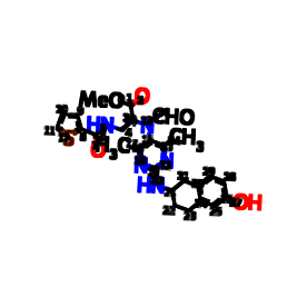 COC(=O)[C@H](CNC(=O)c1cccs1)N(C=O)c1c(C)nc(NC2CCc3cc(O)ccc3C2)nc1C